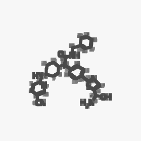 N#Cc1ccc(N[C@H]2CC[C@H](N(C(=O)NCc3ccccc3)c3ccc(-c4ncc(C(N)O)s4)cc3)CC2)nc1